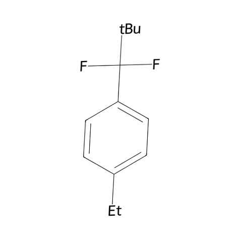 CCc1ccc(C(F)(F)C(C)(C)C)cc1